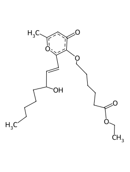 CCCCCC(O)C=Cc1oc(C)cc(=O)c1OCCCCCC(=O)OCC